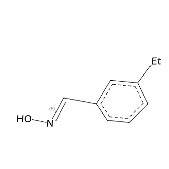 CCc1cccc(/C=N/O)c1